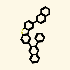 C1=CC2=C(C=CC(c3ccc4sc5ccc(-c6cc7ccccc7cc6-c6ccccc6)cc5c4c3)C2)CC1